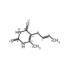 CC=CCc1c(C)[nH]c(=S)[nH]c1=O